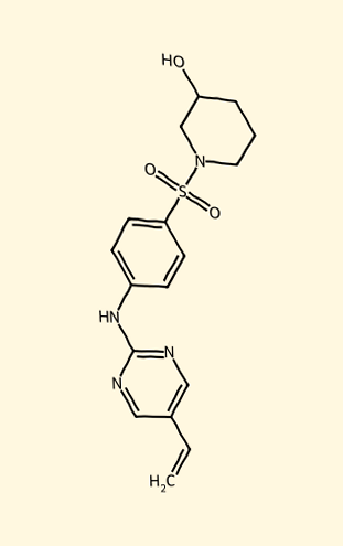 C=Cc1cnc(Nc2ccc(S(=O)(=O)N3CCCC(O)C3)cc2)nc1